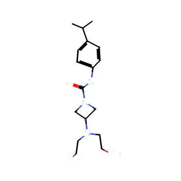 CC(C)c1ccc(NC(=O)N2CC(N(CCO)CCO)C2)cc1